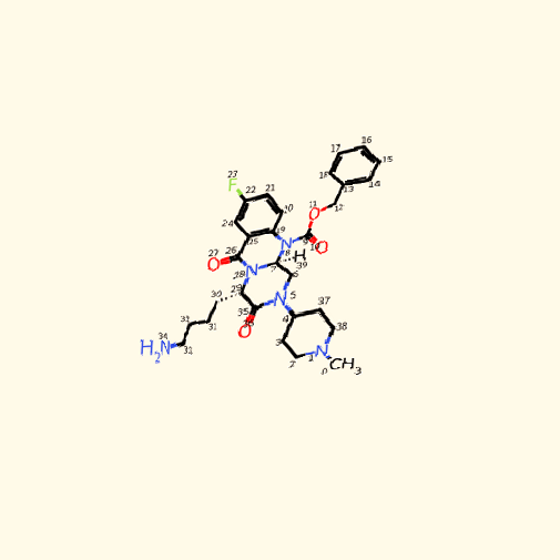 CN1CCC(N2C[C@@H]3N(C(=O)OCc4ccccc4)c4ccc(F)cc4C(=O)N3[C@@H](CCCCN)C2=O)CC1